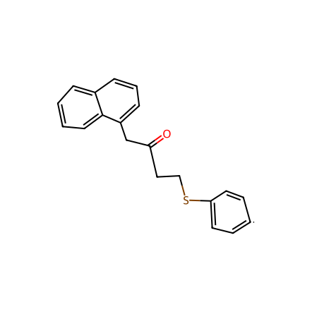 O=C(CCSc1cc[c]cc1)Cc1cccc2ccccc12